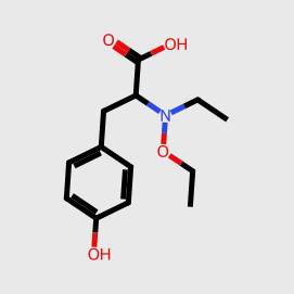 CCON(CC)C(Cc1ccc(O)cc1)C(=O)O